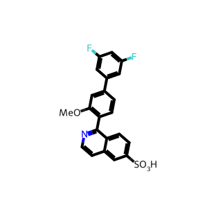 COc1cc(-c2cc(F)cc(F)c2)ccc1-c1nccc2cc(S(=O)(=O)O)ccc12